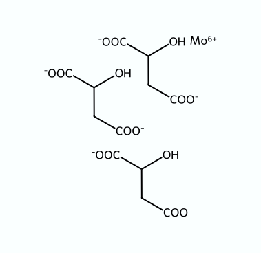 O=C([O-])CC(O)C(=O)[O-].O=C([O-])CC(O)C(=O)[O-].O=C([O-])CC(O)C(=O)[O-].[Mo+6]